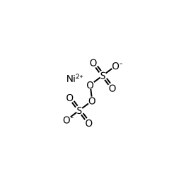 O=S(=O)([O-])OOS(=O)(=O)[O-].[Ni+2]